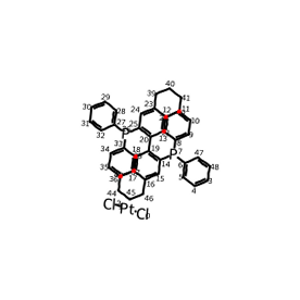 [Cl][Pt][Cl].c1ccc(P(c2ccccc2)c2cc3c(cc2-c2cc4c(cc2P(c2ccccc2)c2ccccc2)CCCC4)CCCC3)cc1